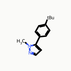 Cn1nccc1-c1ccc(C(C)(C)C)cc1